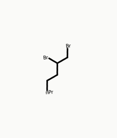 CCCCCC(Br)CBr